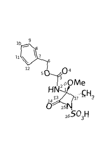 CO[C@]1(NC(=O)OCc2ccccc2)C(=O)N(S(=O)(=O)O)[C@H]1C